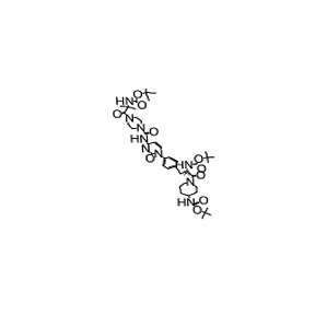 CC(C)(C)OC(=O)NC1CCCN(C(=O)[C@@H](Cc2ccc(-n3ccc(NC(=O)N4CCN(C(=O)C(C)(C)NC(=O)OC(C)(C)C)CC4)nc3=O)cc2)NC(=O)OC(C)(C)C)CC1